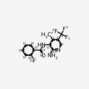 Cc1c(C(F)(F)F)cnc(N)c1NC(=O)c1ccccc1F